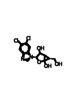 OC[C@@H]1C2C(O)[C@H](n3cnc4cc(Cl)c(Cl)cc43)OC21O